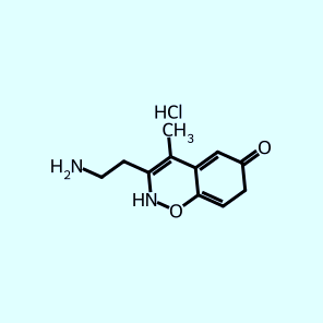 CC1=C(CCN)NOC2=CCC(=O)C=C21.Cl